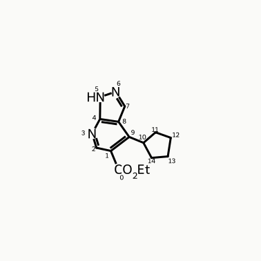 CCOC(=O)c1cnc2[nH]ncc2c1C1CCCC1